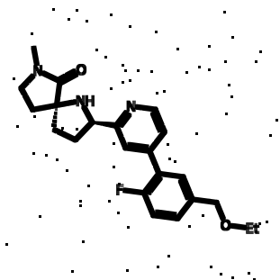 CCOCc1ccc(F)c(-c2ccnc([C@H]3CC[C@@]4(CCN(C)C4=O)N3)c2)c1